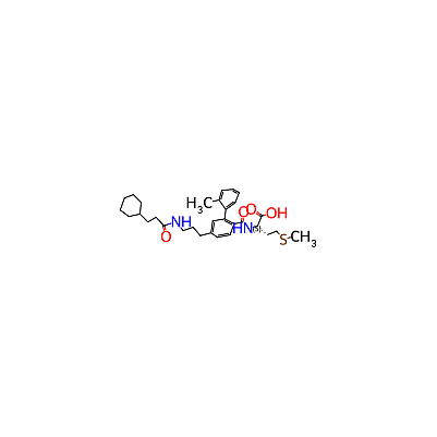 CSCC[C@H](NC(=O)c1ccc(CCCNC(=O)CCC2CCCCC2)cc1-c1ccccc1C)C(=O)O